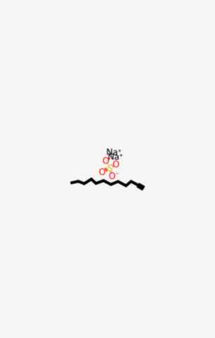 C#CCCCCCCCCCC.O=S(=O)([O-])[O-].[Na+].[Na+]